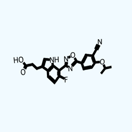 CC(C)Oc1ccc(-c2nc(-c3c(F)ccc4c(CCC(=O)O)c[nH]c34)no2)cc1C#N